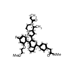 C=CC(=O)N1CCn2nc(-c3nc(-c4ccc(CC(=O)NC)cc4)c4ccsc4c3-c3c(F)cc(F)cc3OCCOC)cc2C1C